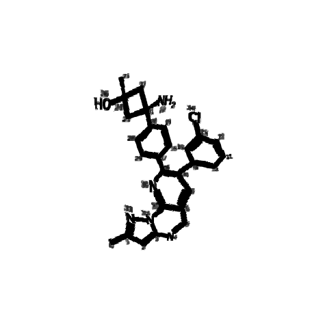 Cc1cc2ncc3cc(-c4cccc(Cl)c4)c(-c4ccc([C@]5(N)C[C@](C)(O)C5)cc4)nc3n2n1